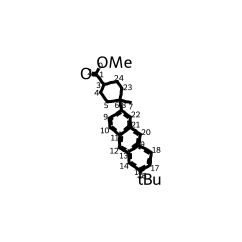 COC(=O)C1CCC(C)(c2ccc3cc4cc(C(C)(C)C)ccc4cc3c2)CC1